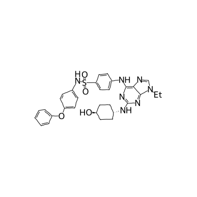 CCn1cnc2c(Nc3ccc(S(=O)(=O)Nc4ccc(Oc5ccccc5)cc4)cc3)nc(N[C@H]3CC[C@H](O)CC3)nc21